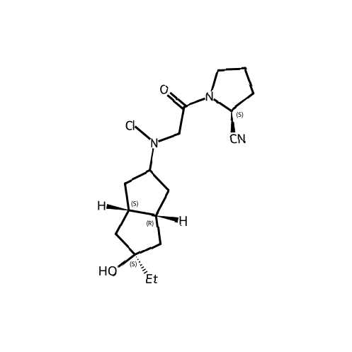 CC[C@@]1(O)C[C@H]2CC(N(Cl)CC(=O)N3CCC[C@H]3C#N)C[C@H]2C1